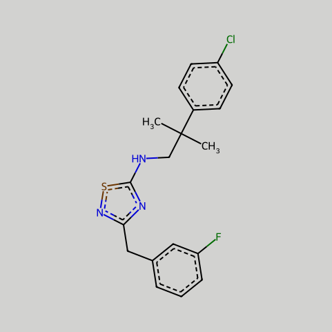 CC(C)(CNc1nc(Cc2cccc(F)c2)ns1)c1ccc(Cl)cc1